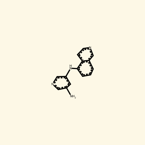 Nc1cncc(Nc2cccc3cnccc23)c1